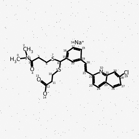 CN(C)C(=O)CCSC(SCCC(=O)[O-])c1cccc(C=Cc2ccc3ccc(Cl)cc3n2)c1.[Na+]